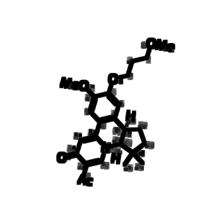 COCCCOc1cc2c(cc1OC)-c1cc(=O)c(C(C)=O)cn1[C@H]1[C@@H]2CCC1(C)C